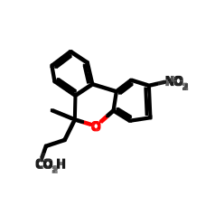 CC1(CCC(=O)O)Oc2ccc([N+](=O)[O-])cc2-c2ccccc21